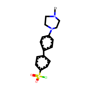 CCN1CCN(c2ccc(-c3ccc(S(=O)(=O)Cl)cc3)cc2)CC1